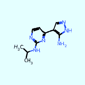 CC(C)Nc1nccc(-c2cn[nH]c2N)n1